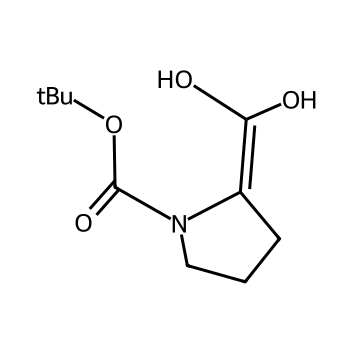 CC(C)(C)OC(=O)N1CCCC1=C(O)O